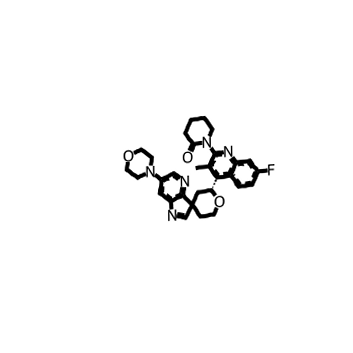 Cc1c(N2CCCCC2=O)nc2cc(F)ccc2c1[C@H]1CC2(C=Nc3cc(N4CCOCC4)cnc32)CCO1